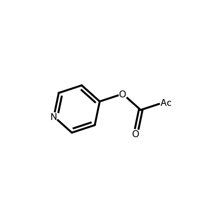 CC(=O)C(=O)Oc1ccncc1